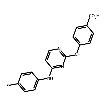 O=C(O)c1ccc(Nc2nccc(Nc3ccc(F)cc3)n2)cc1